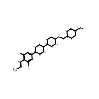 CCCCCC1CCC(COC2CCC(C3CCC(c4cc(F)c(/C=C/C(F)(F)F)c(F)c4)CC3)CC2)CC1